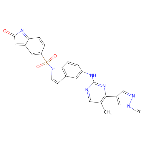 Cc1cnc(Nc2ccc3c(ccn3S(=O)(=O)c3ccc4c(c3)=CC(=O)N=4)c2)nc1-c1cnn(C(C)C)c1